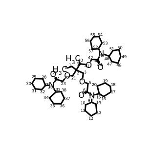 CCC(COCC(=O)N(C1CCCCC1)C1CCCCC1)(COCC(=O)N(C1CCCCC1)C1CCCCC1)C(C)OCC(=O)N(C1CCCCC1)C1CCCCC1